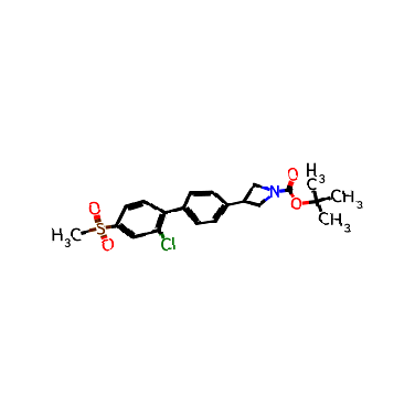 CC(C)(C)OC(=O)N1CC(c2ccc(-c3ccc(S(C)(=O)=O)cc3Cl)cc2)C1